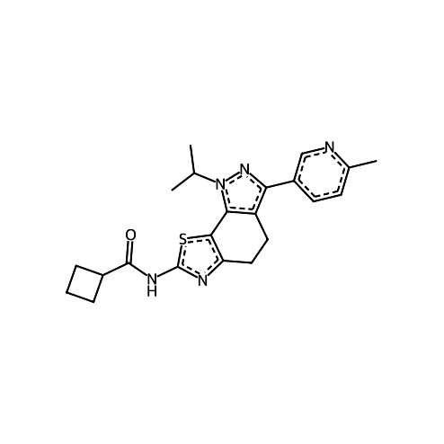 Cc1ccc(-c2nn(C(C)C)c3c2CCc2nc(NC(=O)C4CCC4)sc2-3)cn1